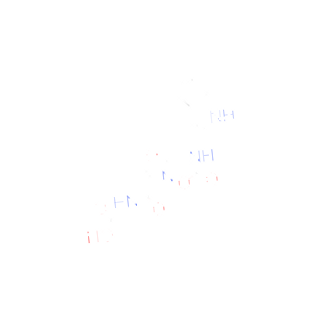 CC(C)(C)OC(=O)N[C@@H](Cc1c[nH]c2ccccc12)c1nc(C(=O)NCC(=O)O)co1